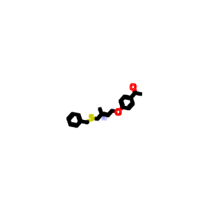 CC(=O)c1ccc(OC/C=C(\C)CSCc2ccccc2)cc1